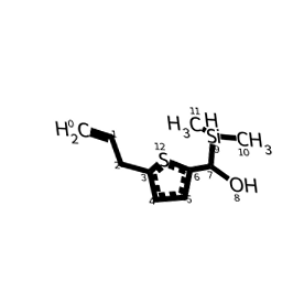 C=CCc1ccc(C(O)[SiH](C)C)s1